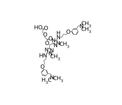 CN(C)Cc1cccc(OCCCNc2nc(C(OC(=O)COCC(=O)O)c3nc(NCCCOc4cccc(CN(C)C)c4)n(C)n3)nn2C)c1